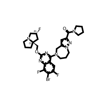 O=C(c1cc2n(n1)CCCN(c1nc(OC[C@@]34CCCN3C[C@H](F)C4)nc3c(F)c(Br)c(F)cc13)C2)N1CCCC1